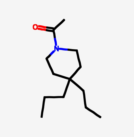 CCCC1(CCC)CCN(C(C)=O)CC1